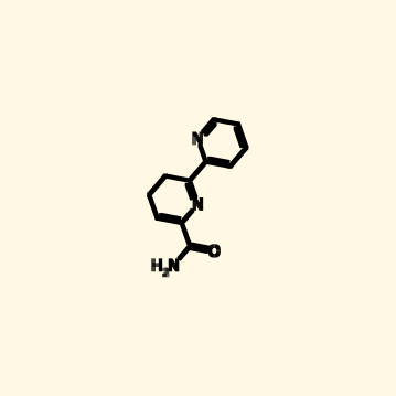 NC(=O)C1=CCCC(c2ccccn2)=N1